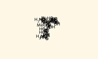 COC[C@@H]1[C@H](OP(=O)(O)OC[C@H]2O[C@@H](n3cnc4c(=O)[nH]c(N)nc43)[C@H](O)[C@@H]2O)C(COP(=O)(O)OP(=O)(O)OP(=O)(O)O)O[C@H]1n1cnc2c(N)ncnc21